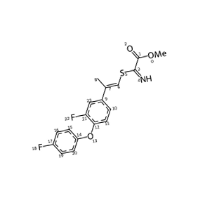 COC(=O)C(=N)S/C=C(\C)c1ccc(Oc2ccc(F)cc2)c(F)c1